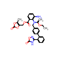 C=C(OCC)N(Cc1ccc(-c2ccccc2-c2noc(=O)[nH]2)cc1)c1c(N)cccc1C(=O)OCc1oc(=O)oc1C